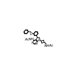 CC(=O)NCC1CC(N2CC(c3cccc(OCc4ccccc4)c3)c3c(NC(C)=O)ncnc32)C1